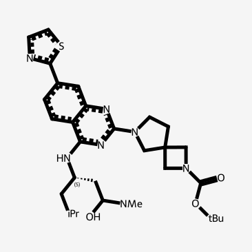 CNC(O)C[C@H](CC(C)C)Nc1nc(N2CCC3(CN(C(=O)OC(C)(C)C)C3)C2)nc2cc(-c3nccs3)ccc12